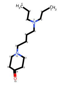 CCCN(CCC)CCCCN1CCC(=O)CC1